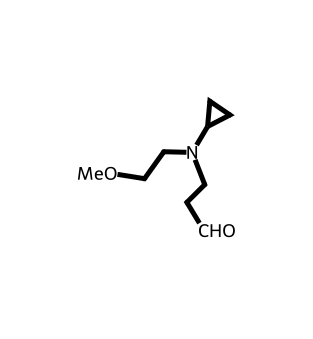 COCCN(CCC=O)C1CC1